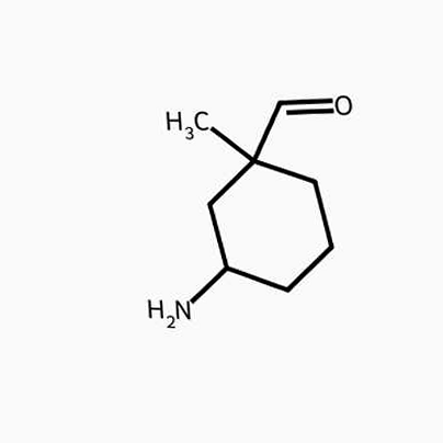 CC1(C=O)CCCC(N)C1